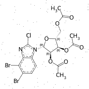 CC(=O)OC[C@H]1O[C@@H](n2c(Cl)nc3c(Br)c(Br)ccc32)[C@H](OC(C)=O)[C@@H]1OC(C)=O